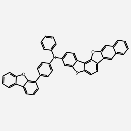 c1ccc(N(c2ccc(-c3cccc4c3oc3ccccc34)cc2)c2ccc3c(c2)sc2ccc4c5cc6ccccc6cc5oc4c23)cc1